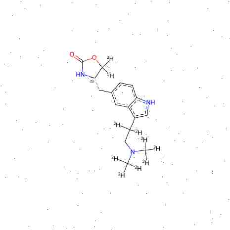 [2H]C([2H])(CN(C([2H])([2H])[2H])C([2H])([2H])[2H])c1c[nH]c2ccc(C[C@@H]3NC(=O)OC3([2H])[2H])cc12